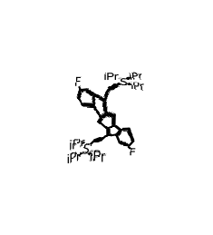 CC(C)S(C#CC1=c2cc3c(cc2-c2ccc(F)cc21)=C(C#CS(C(C)C)(C(C)C)C(C)C)c1cc(F)ccc1-3)(C(C)C)C(C)C